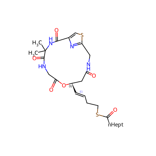 CCCCCCCC(=O)SCC/C=C/[C@@H]1CC(=O)NCc2nc(cs2)C(=O)NC(C)(C)C(=O)NCC(=O)O1